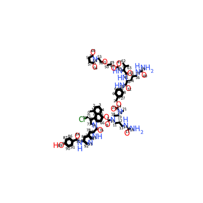 Cc1cccc2c(OC(=O)N(CCCNC(N)=O)CCN(C)C(=O)OCc3ccc(NC(=O)[C@H](CCCNC(N)=O)NC(=O)C(NC(=O)OCCOCCN4C(=O)C=CC4=O)C(C)C)cc3)cc3c(c12)[C@H](CCl)CN3C(=O)c1cc2cc(NC(=O)c3ccc(O)cc3)cnc2[nH]1